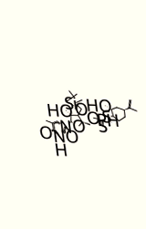 C=C(C)[C@H]1CC[C@@](C)(S[PH](=S)OC[C@H]2O[C@@H](n3cc(C)c(=O)[nH]c3=O)[C@H](O)C2O[Si](C)(C)C(C)(C)C)[C@H](O)C1